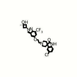 C[C@]1(O)C[C@@H](n2cc3cc(OCCN4CCC5(CC4)C(=O)Nc4ccc(Cl)cc45)cc(C(F)(F)F)c3n2)C1